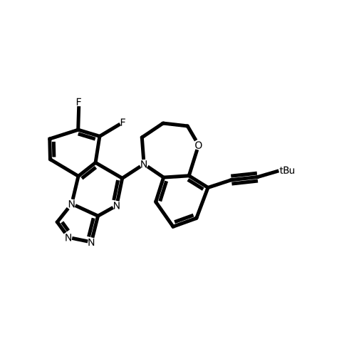 CC(C)(C)C#Cc1cccc2c1OCCCN2c1nc2nncn2c2ccc(F)c(F)c12